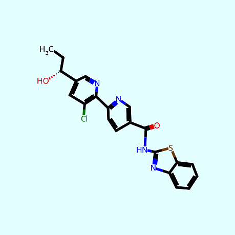 CC[C@@H](O)c1cnc(-c2ccc(C(=O)Nc3nc4ccccc4s3)cn2)c(Cl)c1